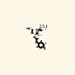 C[C@H](NC(=O)N(CCO)CCCc1ccc(F)cc1)C(=O)O